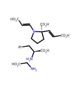 CC(C)C[C@H](N)C(=O)O.NCC(=O)O.O=C(O)C=CN1CCC[C@@]1(C=CC(=O)O)C(=O)O